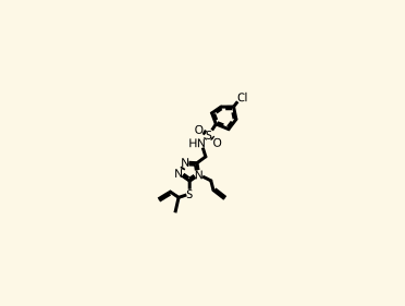 C=CCn1c(CNS(=O)(=O)c2ccc(Cl)cc2)nnc1SC(C)C=C